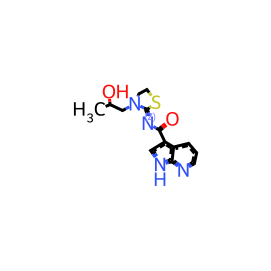 CC(O)CN1CCS/C1=N\C(=O)c1c[nH]c2ncccc12